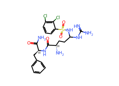 N=C(N)NC(CC[C@H](N)C(=O)N[C@@H](Cc1ccccc1)C(N)=O)NS(=O)(=O)c1cccc(Cl)c1Cl